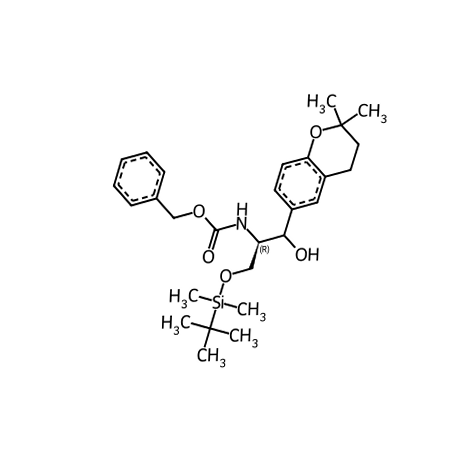 CC1(C)CCc2cc(C(O)[C@@H](CO[Si](C)(C)C(C)(C)C)NC(=O)OCc3ccccc3)ccc2O1